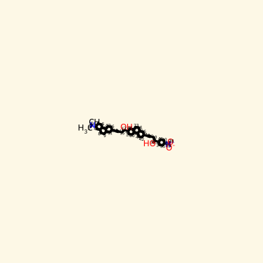 CN(C)c1ccc2c(ccc3cc(C#C/C=C(\O)c4ccc5c(ccc6cc(C#C/C=C(\O)c7ccc([N+](=O)[O-])cc7)ccc65)c4)ccc32)c1